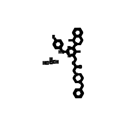 Cc1c(COC(=O)CN2CCN(Cc3ccccc3)CC2)nc(Nc2ccc(F)cc2)nc1N1CCc2ccccc2C1C.Cl.Cl.Cl